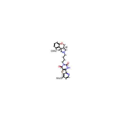 COc1cccc2c1[C@H]1CN(CCCCn3c(=O)[nH]c4c(sc5c(OC)ccnc54)c3=O)C[C@@H]1CO2